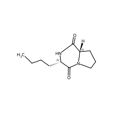 CCCC[C@@H]1NC(=O)[C@@H]2CCCN2C1=O